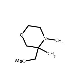 COCC1(C)COCCN1C